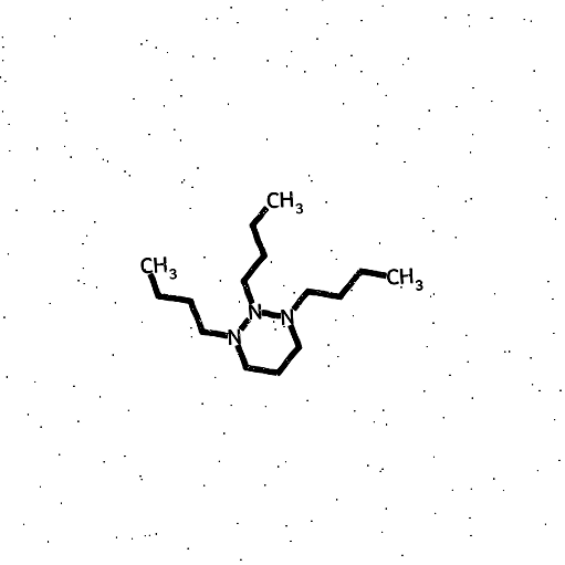 CCCCN1CCCN(CCCC)N1CCCC